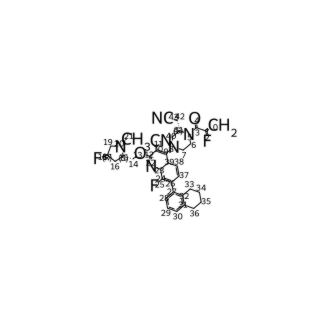 C=C(F)C(=O)N1CCN(C2=C(C#N)C(OC[C@@H]3C[C@@H](F)CN3C)=NC3C(F)=C(c4cccc5c4CCCC5)C=CC23)C[C@@H]1CC#N